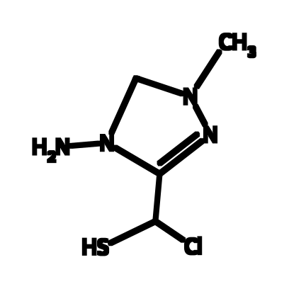 CN1CN(N)C(C(S)Cl)=N1